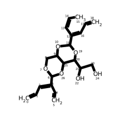 C=C/C=C(\C=C)C1OCC2OC(C(/C=C\C)=C/C=C)OC(C(O)CO)C2O1